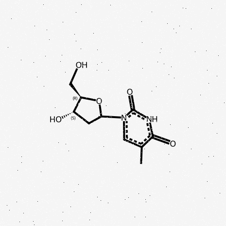 Cc1cn([C]2C[C@H](O)[C@@H](CO)O2)c(=O)[nH]c1=O